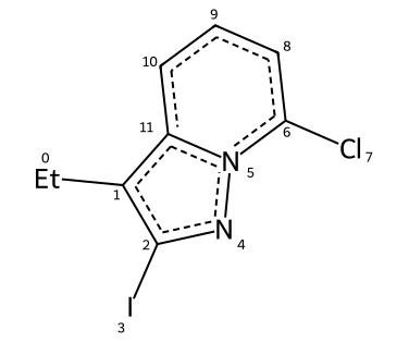 CCc1c(I)nn2c(Cl)cccc12